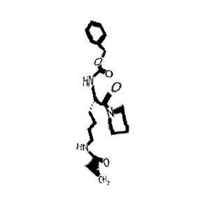 C=CC(=O)NCCCC[C@H](NC(=O)OCc1ccccc1)C(=O)N1CCCCC1